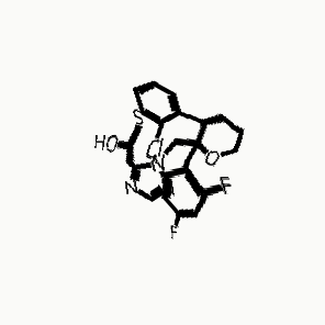 OC(=S)c1ncnn1CC1(c2ccc(F)cc2F)OCCCC1c1ccccc1Cl